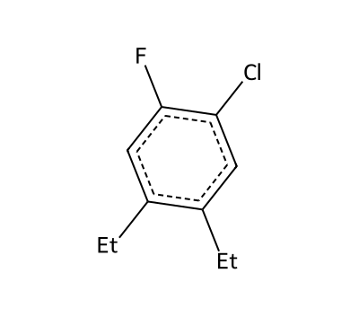 CCc1cc(F)c(Cl)cc1CC